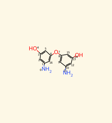 Nc1cc(O)cc(Oc2cc(N)cc(O)c2)c1